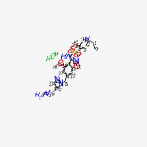 CCc1cc(S(=O)(=O)Nc2noc3cc(Cn4cc(CN)cn4)cc(OC)c23)c(OC)cn1.Cl